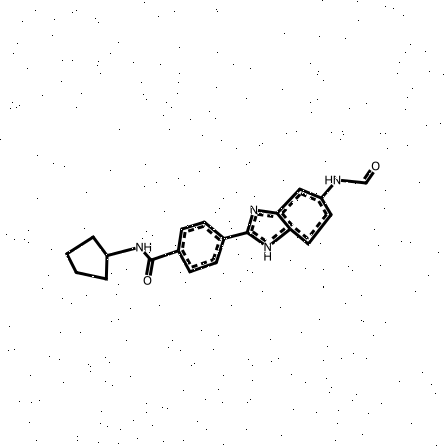 O=CNc1ccc2[nH]c(-c3ccc(C(=O)NC4CCCC4)cc3)nc2c1